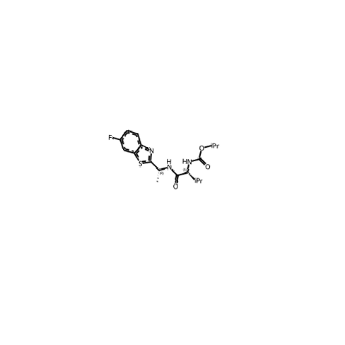 CC(C)OC(=O)N[C@H](C(=O)N[C@H](C)c1nc2ccc(F)cc2s1)C(C)C